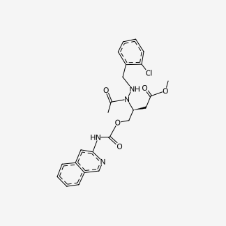 COC(=O)C[C@@H](COC(=O)Nc1cc2ccccc2cn1)N(NCc1ccccc1Cl)C(C)=O